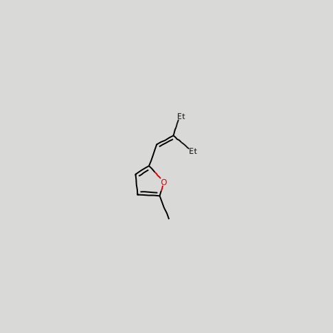 CCC(=Cc1ccc(C)o1)CC